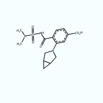 CN(C)S(=O)(=O)NC(=O)c1ccc(C(=O)O)cc1N1CC2CC2C1